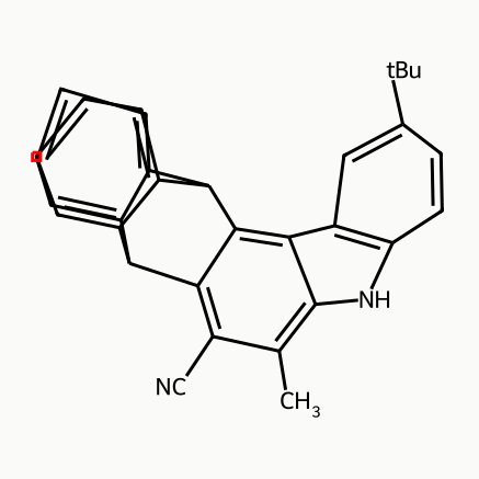 Cc1c(C#N)c2c(c3c1[nH]c1ccc(C(C)(C)C)cc13)C1c3ccccc3C2c2ccccc21